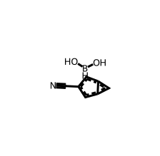 N#Cc1cc2cc-2c1.OBO